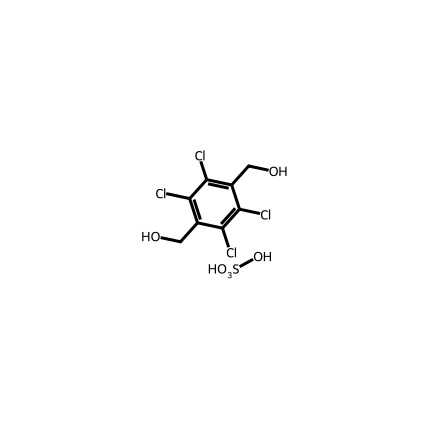 O=S(=O)(O)O.OCc1c(Cl)c(Cl)c(CO)c(Cl)c1Cl